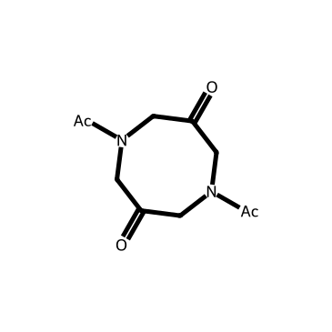 CC(=O)N1CC(=O)CN(C(C)=O)CC(=O)C1